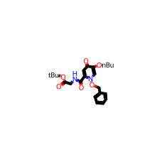 CCCCOc1cn(OCc2ccccc2)c(C(=O)NCC(=O)OC(C)(C)C)cc1=O